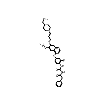 COc1cc2c(Oc3ccc(NC(=O)NC(=O)Cc4ccccc4)c(F)c3)ccnc2cc1OCCCN1CCC(CO)CC1